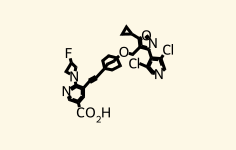 O=C(O)c1cnc(N2CC(F)C2)c(C#CC23CCC(OCc4c(-c5c(Cl)cncc5Cl)noc4C4CC4)(CC2)CC3)c1